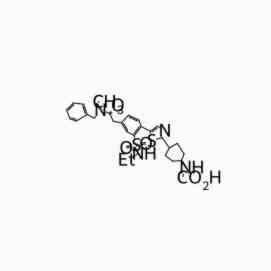 CCNS(=O)(=O)c1cc(CC(=O)N(C)Cc2ccccc2)ccc1-c1cnc(C2CCC(NC(=O)O)CC2)s1